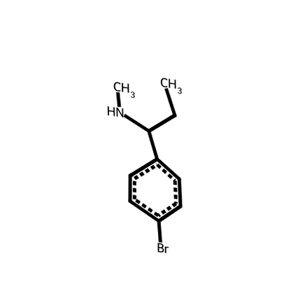 CCC(NC)c1ccc(Br)cc1